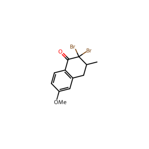 COc1ccc2c(c1)CC(C)C(Br)(Br)C2=O